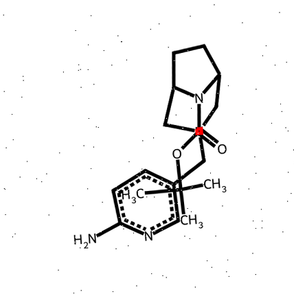 CC(C)(C)OC(=O)N1C2CCC1CN(Cc1ccc(N)nc1)C2